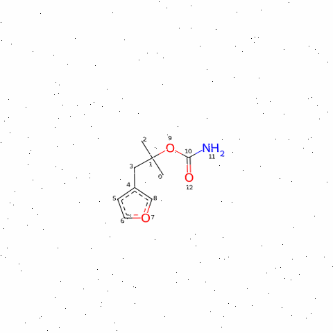 CC(C)(Cc1ccoc1)OC(N)=O